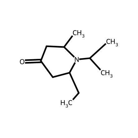 CCC1CC(=O)CC(C)N1C(C)C